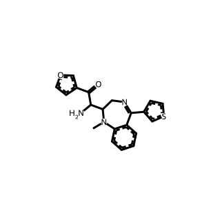 CN1c2ccccc2C(c2ccsc2)=NCC1C(N)C(=O)c1ccoc1